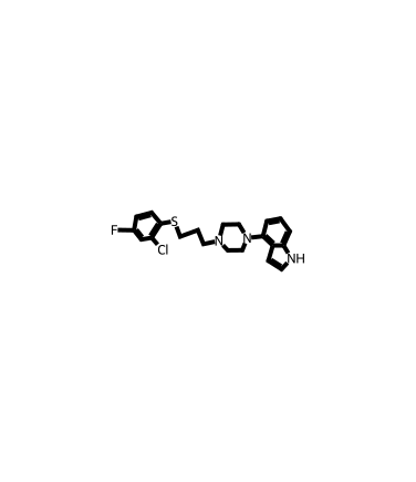 Fc1ccc(SCCCN2CCN(c3cccc4[nH]ccc34)CC2)c(Cl)c1